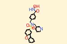 O=C(NO)c1ccc(CN(Cc2cccnc2)S(=O)(=O)c2ccc3oc4ccccc4c3c2)cc1